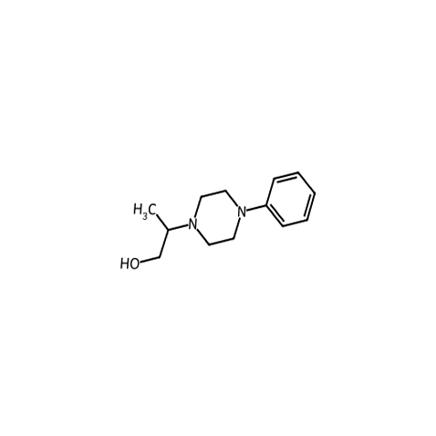 CC(CO)N1CCN(c2ccccc2)CC1